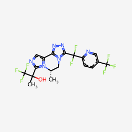 C[C@H]1Cn2c(nnc2C(F)(F)c2ccc(C(F)(F)F)cn2)-c2cnc(C(C)(O)C(F)(F)F)n21